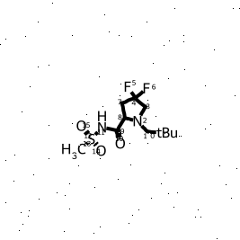 CC(C)(C)CN1CC(F)(F)CC1C(=O)NS(C)(=O)=O